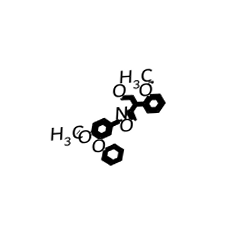 CCOc1ccccc1C(CC=O)c1coc(-c2ccc(OC)c(OC3C=CCCC3)c2)n1